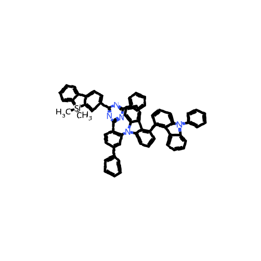 C[Si]1(C)c2ccccc2-c2ccc(-c3nc(-c4ccccc4)nc(-c4ccc(-c5ccccc5)cc4-n4c5ccccc5c5c(-c6cccc7c6c6ccccc6n7-c6ccccc6)cccc54)n3)cc21